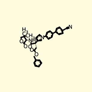 CC1(C)COC(=O)[C@H]1NC(=O)[C@@H](CC(=O)OCc1ccccc1)c1ccn(-c2ccc(-c3ccc(C#N)cc3)cc2)c1